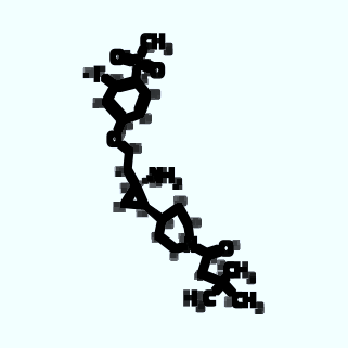 CC(C)(C)CC(=O)N1CCC([C@H]2C[C@@]2(N)CCOc2ccc(S(C)(=O)=O)c(F)c2)CC1